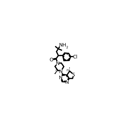 C[C@@H]1SCc2ncnc(N3CCN(C(=O)C(CC(C)(C)N)c4ccc(Cl)cc4)C[C@@H]3C)c21